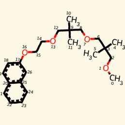 COCC(C)(C)COCC(C)(C)COCCOc1ccc2ccccc2c1